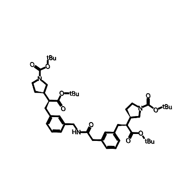 CC(C)(C)OC(=O)[C@@H](Cc1cccc(CNC(=O)Cc2cccc(C[C@H](C(=O)OC(C)(C)C)[C@H]3CCN(C(=O)OC(C)(C)C)C3)c2)c1)[C@H]1CCN(C(=O)OC(C)(C)C)C1